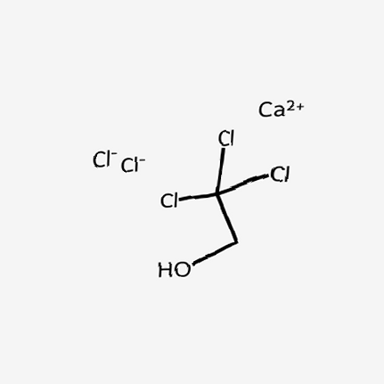 OCC(Cl)(Cl)Cl.[Ca+2].[Cl-].[Cl-]